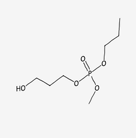 CCCOP(=O)(OC)OCCCO